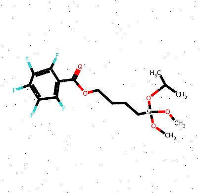 CO[Si](CCCCOC(=O)c1c(F)c(F)c(F)c(F)c1F)(OC)OC(C)C